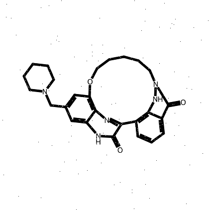 O=c1[nH]c2cc(CN3CCCCC3)cc3c2nc1-c1cccc2c(=O)n([nH]c12)CCCCCO3